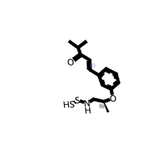 CC(C)C(=O)/C=C/c1cccc(O[C@@H](C)CNSS)c1